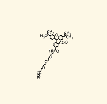 CN(C)c1ccc2c(-c3ccc(C(=O)NCCOCCOCCOCCN=[N+]=[N-])cc3C(=O)[O-])c3ccc(=[N+](C)C)cc-3oc2c1